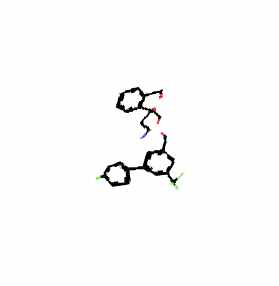 NCCC1(COCc2cc(-c3ccc(F)cc3)cc(C(F)(F)F)c2)OCc2ccccc21